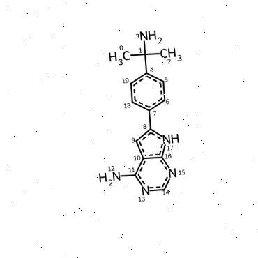 CC(C)(N)c1ccc(-c2cc3c(N)ncnc3[nH]2)cc1